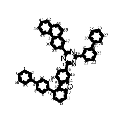 c1ccc(-c2ccc(-c3cccc4oc5cc(-c6nc(-c7cccc(-c8ccccc8)c7)nc(-c7ccc8c(ccc9ccccc98)c7)n6)ccc5c34)cc2)cc1